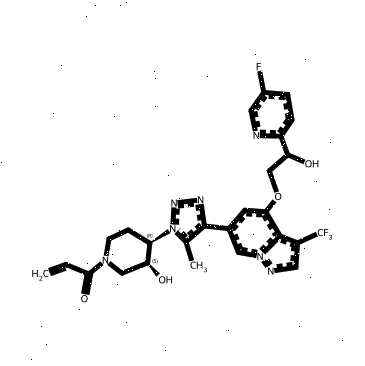 C=CC(=O)N1CC[C@@H](n2nnc(-c3cc(OCC(O)c4ccc(F)cn4)c4c(C(F)(F)F)cnn4c3)c2C)[C@@H](O)C1